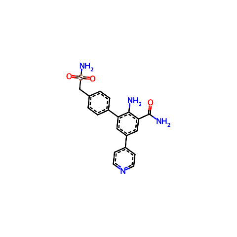 NC(=O)c1cc(-c2ccncc2)cc(-c2ccc(CS(N)(=O)=O)cc2)c1N